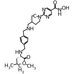 COC(=O)[C@H](CC(C)C)NCc1ccc(CNCC2CCN(c3ncc(C(=O)NO)cn3)CC2)cc1